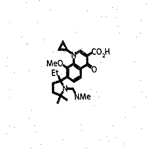 CCC1(c2ccc3c(=O)c(C(=O)O)cn(C4CC4)c3c2OC)CCC(C)(C)N1CNC